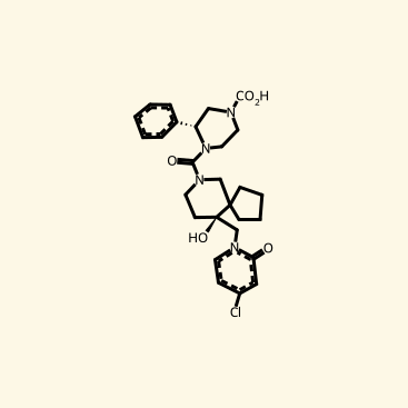 O=C(O)N1CCN(C(=O)N2CC[C@@](O)(Cn3ccc(Cl)cc3=O)C3(CCCC3)C2)[C@H](c2ccccc2)C1